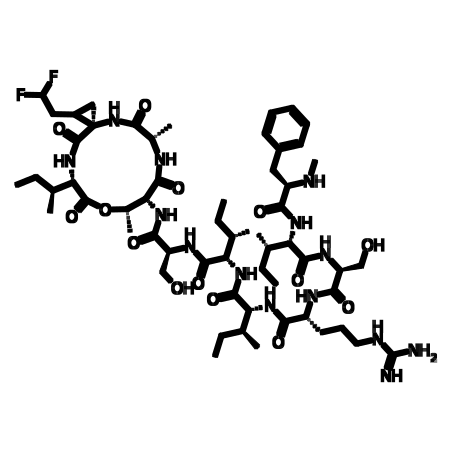 CC[C@H](C)[C@H](NC(=O)[C@@H](Cc1ccccc1)NC)C(=O)N[C@@H](CO)C(=O)N[C@H](CCCNC(=N)N)C(=O)N[C@@H](C(=O)N[C@H](C(=O)N[C@@H](CO)C(=O)N[C@H]1C(=O)N[C@@H](C)C(=O)N[C@@]2(CC2CC(F)F)C(=O)N[C@@H]([C@@H](C)CC)C(=O)O[C@H]1C)[C@@H](C)CC)[C@@H](C)CC